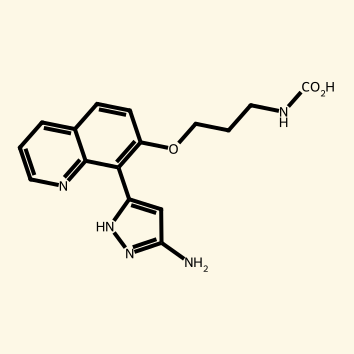 Nc1cc(-c2c(OCCCNC(=O)O)ccc3cccnc23)[nH]n1